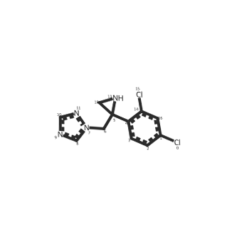 Clc1ccc(C2(Cn3cncn3)CN2)c(Cl)c1